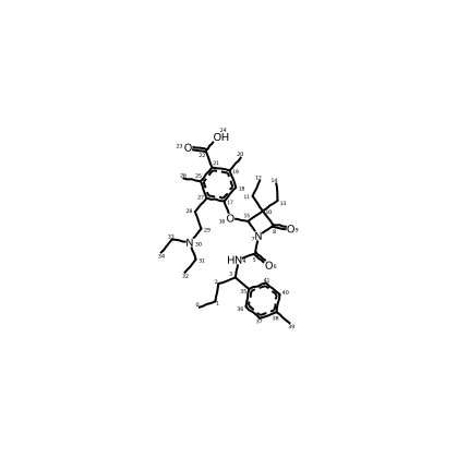 CCCC(NC(=O)N1C(=O)C(CC)(CC)C1Oc1cc(C)c(C(=O)O)c(C)c1CCN(CC)CC)c1ccc(C)cc1